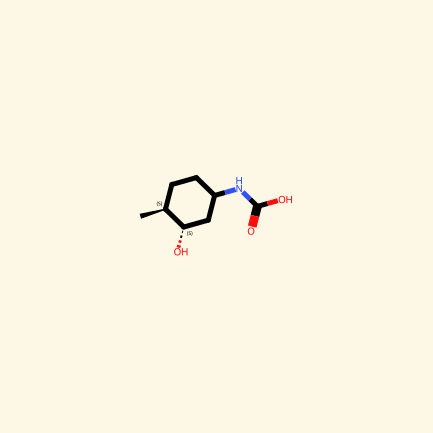 C[C@H]1CCC(NC(=O)O)C[C@@H]1O